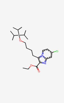 CCOC(=O)c1nc2cc(Cl)ccn2c1CCCCO[Si](C(C)C)(C(C)C)C(C)C